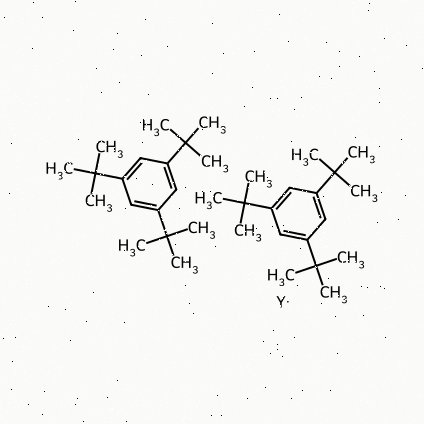 CC(C)(C)c1cc(C(C)(C)C)cc(C(C)(C)C)c1.CC(C)(C)c1cc(C(C)(C)C)cc(C(C)(C)C)c1.[Y]